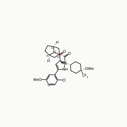 COc1cc(-c2cc(C(=O)N3[C@@H]4CC[C@H]3C[C@H](C(=O)N[C@H]3CC[C@](OC)(C(F)(F)F)CC3)C4)n[nH]2)c(Cl)cn1